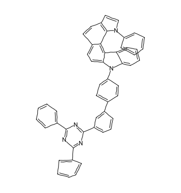 c1ccc(-c2nc(-c3ccccc3)nc(-c3cccc(-c4ccc(-n5c6ccccc6c6c7c(ccc8ccn(-c9ccccc9)c87)ccc65)cc4)c3)n2)cc1